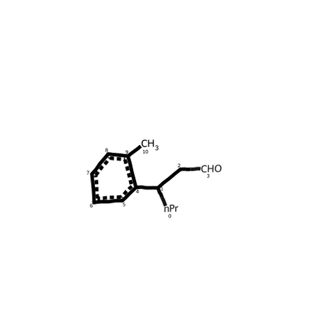 CCCC(CC=O)c1ccccc1C